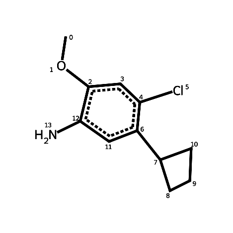 COc1cc(Cl)c(C2CCC2)cc1N